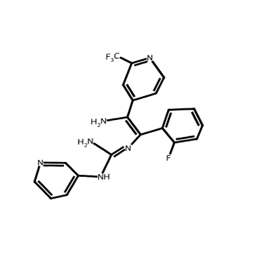 N/C(=C(\N=C(/N)Nc1cccnc1)c1ccccc1F)c1ccnc(C(F)(F)F)c1